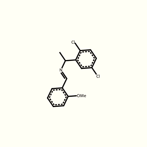 COc1ccccc1C=NC(C)c1cc(Cl)ccc1Cl